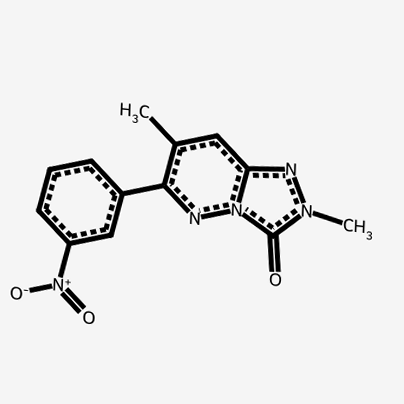 Cc1cc2nn(C)c(=O)n2nc1-c1cccc([N+](=O)[O-])c1